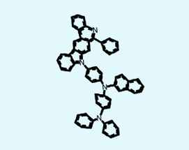 c1ccc(-c2nc3ccccc3c3cc4c5ccccc5n(-c5ccc(N(c6ccc(N(c7ccccc7)c7ccccc7)cc6)c6ccc7ccccc7c6)cc5)c4cc23)cc1